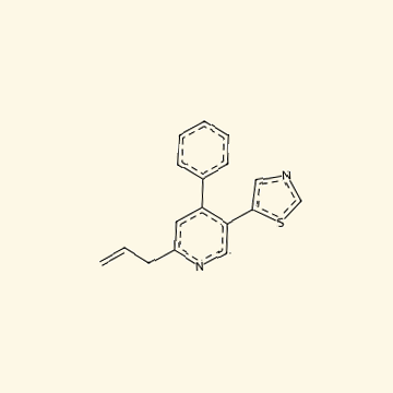 C=CCc1cc(-c2ccccc2)c(-c2cncs2)[c]n1